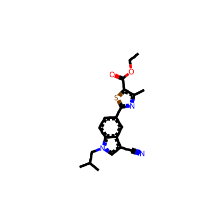 CCOC(=O)c1sc(-c2ccc3c(c2)c(C#N)cn3CC(C)C)nc1C